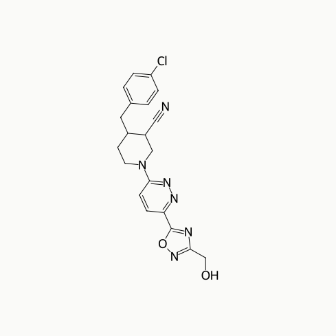 N#CC1CN(c2ccc(-c3nc(CO)no3)nn2)CCC1Cc1ccc(Cl)cc1